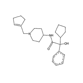 O=C(NC1CCN(CC2=CCCC2)CC1)C(O)(c1ccccc1)C1CCCC1